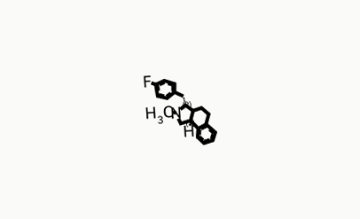 CN1C[C@@H]2c3ccccc3CCC2[C@H]1Cc1ccc(F)cc1